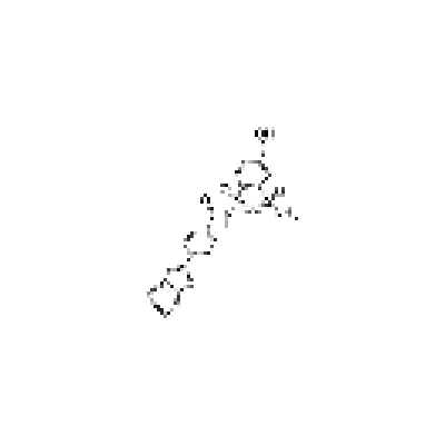 NS(=O)(=O)c1cc(CO)ccc1S(=O)(=O)NC(=O)c1ccc(-c2cc3ccccc3o2)cc1